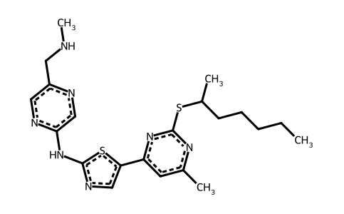 CCCCCC(C)Sc1nc(C)cc(-c2cnc(Nc3cnc(CNC)cn3)s2)n1